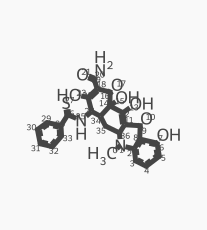 CN1c2cccc(O)c2C(=O)C2=C(O)C3(O)C(=O)C(C(N)=O)=C(O)C(NC(=S)c4ccccc4)C3CC21